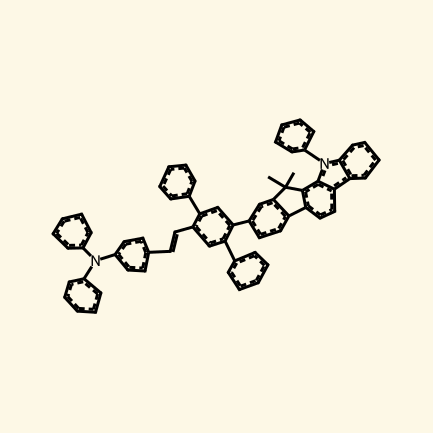 CC1(C)c2cc(-c3cc(-c4ccccc4)c(/C=C/c4ccc(N(c5ccccc5)c5ccccc5)cc4)cc3-c3ccccc3)ccc2-c2ccc3c4ccccc4n(-c4ccccc4)c3c21